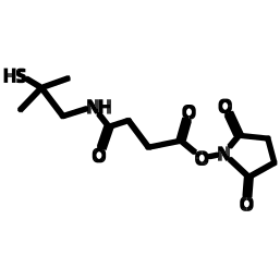 CC(C)(S)CNC(=O)CCC(=O)ON1C(=O)CCC1=O